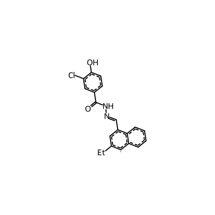 CCc1[c]c2ccccc2c(C=NNC(=O)c2ccc(O)c(Cl)c2)c1